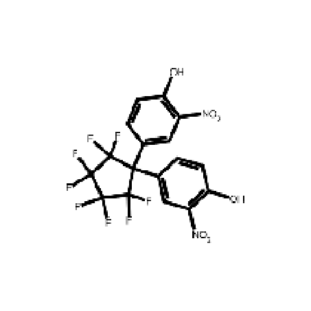 O=[N+]([O-])c1cc(C2(c3ccc(O)c([N+](=O)[O-])c3)C(F)(F)C(F)(F)C(F)(F)C2(F)F)ccc1O